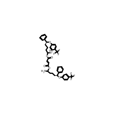 NC(CCC[C@H](Oc1ccc(C(F)(F)F)cc1)c1ccccc1)OC(=O)/C=C/C(=O)OC(N)CCC[C@H](Oc1ccc(C(F)(F)F)cc1)c1ccccc1